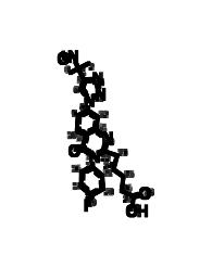 CC(C)(N=O)c1cn(-c2ccc3c(=O)n(-c4ccc(F)cc4)c(CCCCC(=O)O)nc3c2)nn1